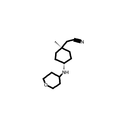 C[C@]1(CC#N)CC[C@H](NC2CCOCC2)CC1